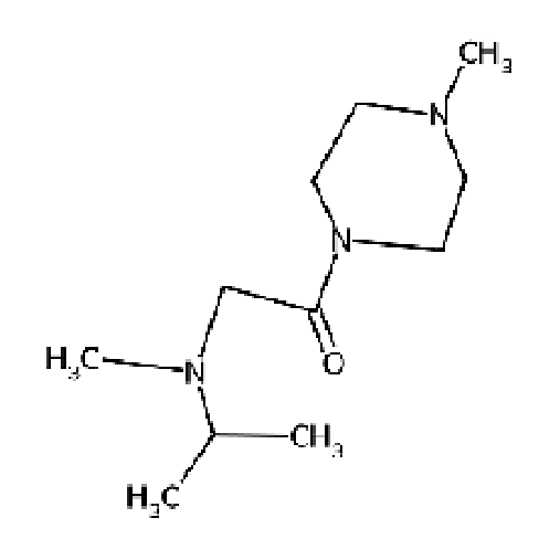 CC(C)N(C)CC(=O)N1CCN(C)CC1